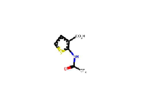 O=C(O)c1ccsc1NC(=O)C(F)(F)F